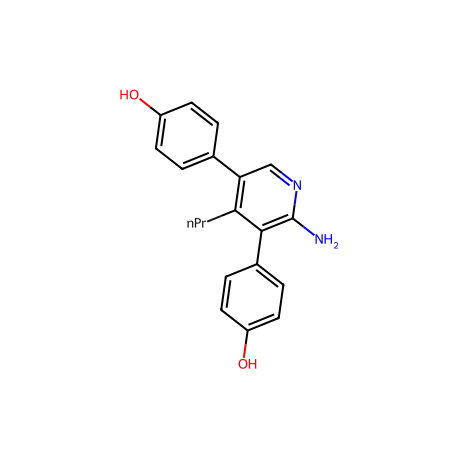 CCCc1c(-c2ccc(O)cc2)cnc(N)c1-c1ccc(O)cc1